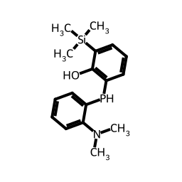 CN(C)c1ccccc1Pc1cccc([Si](C)(C)C)c1O